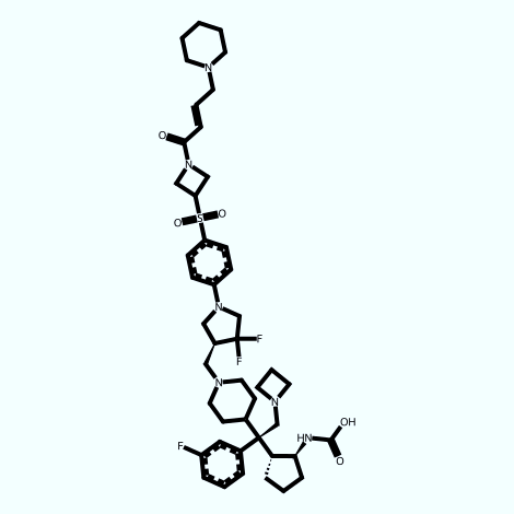 O=C(O)N[C@H]1CCC[C@@H]1[C@](CN1CCC1)(c1cccc(F)c1)C1CCN(C[C@H]2CN(c3ccc(S(=O)(=O)C4CN(C(=O)/C=C/CN5CCCCC5)C4)cc3)CC2(F)F)CC1